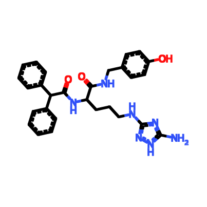 Nc1nc(NCCCC(NC(=O)C(c2ccccc2)c2ccccc2)C(=O)NCc2ccc(O)cc2)n[nH]1